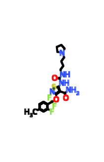 Cc1ccc(C(F)(F)Oc2nsc(NC(=O)NCCCCN3CCCC3)c2C(N)=O)c(F)c1